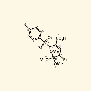 CCC(/C=C(\CS(=O)(=O)c1ccc(C)cc1)C(=O)O)[Si](OC)(OC)OC